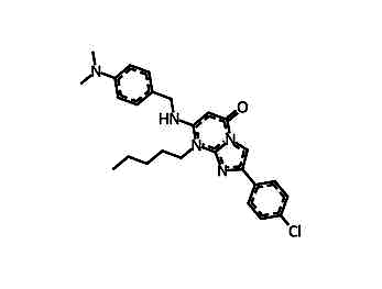 CCCCCn1c(NCc2ccc(N(C)C)cc2)cc(=O)n2cc(-c3ccc(Cl)cc3)nc12